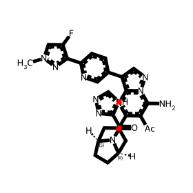 CC(=O)c1c(C2C[C@H]3CC[C@@H](C2)N3C(=O)c2nnc[nH]2)nc2c(-c3ccc(-c4nn(C)cc4F)nc3)cnn2c1N